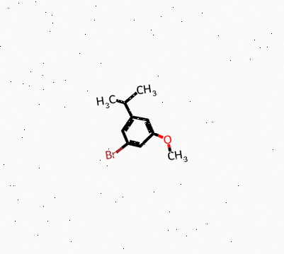 COc1cc(Br)cc(C(C)C)c1